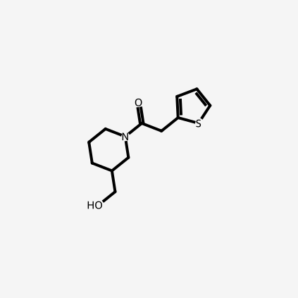 O=C(Cc1cccs1)N1CCCC(CO)C1